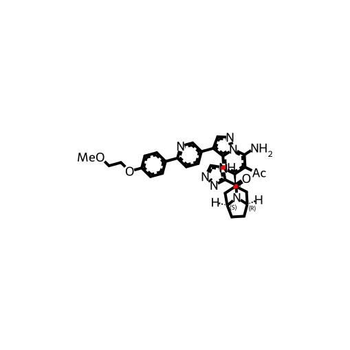 COCCOc1ccc(-c2ccc(-c3cnn4c(N)c(C(C)=O)c([C@H]5C[C@H]6CC[C@@H](C5)N6C(=O)c5nnc[nH]5)nc34)cn2)cc1